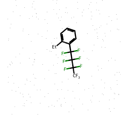 [CH2]Cc1ccccc1C(F)(F)C(F)(F)C(F)(F)C(F)(F)F